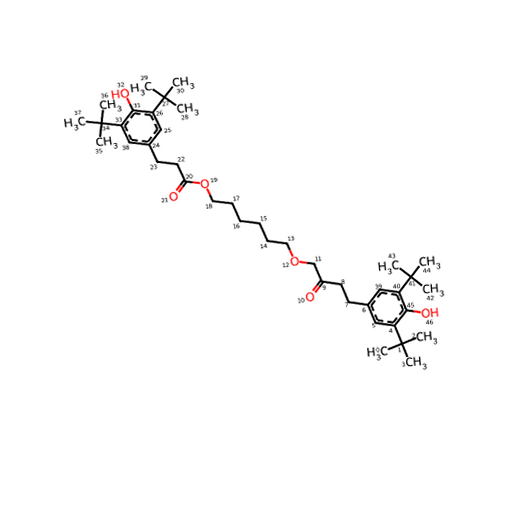 CC(C)(C)c1cc(CCC(=O)COCCCCCCOC(=O)CCc2cc(C(C)(C)C)c(O)c(C(C)(C)C)c2)cc(C(C)(C)C)c1O